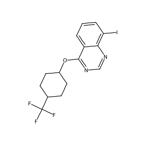 FC(F)(F)C1CCC(Oc2ncnc3c(I)cccc23)CC1